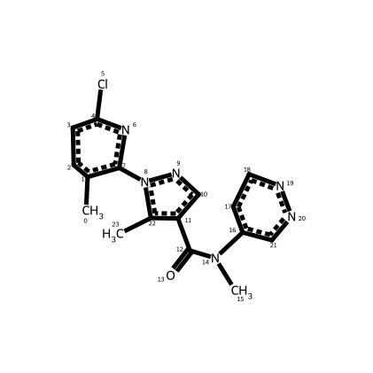 Cc1ccc(Cl)nc1-n1ncc(C(=O)N(C)c2ccnnc2)c1C